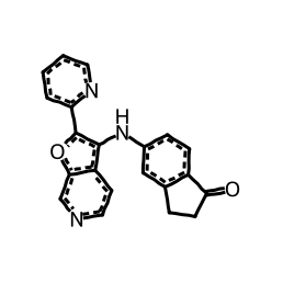 O=C1CCc2cc(Nc3c(-c4ccccn4)oc4cnccc34)ccc21